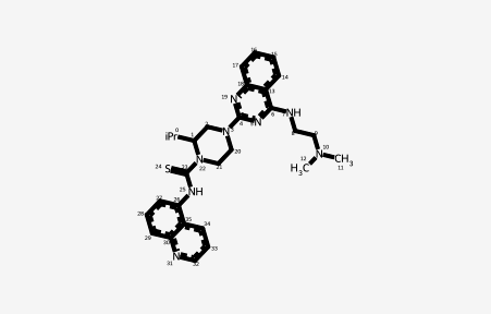 CC(C)C1CN(c2nc(NCCN(C)C)c3ccccc3n2)CCN1C(=S)Nc1cccc2ncccc12